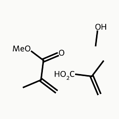 C=C(C)C(=O)O.C=C(C)C(=O)OC.CO